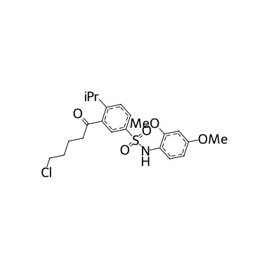 COc1ccc(NS(=O)(=O)c2ccc(C(C)C)c(C(=O)CCCCCl)c2)c(OC)c1